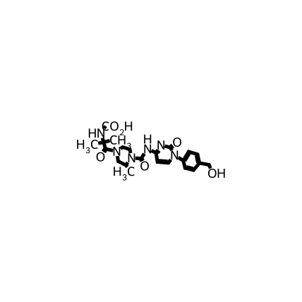 CC1CN(C(=O)C(C)(C)NC(=O)O)CCN1C(=O)Nc1ccn(-c2ccc(CO)cc2)c(=O)n1